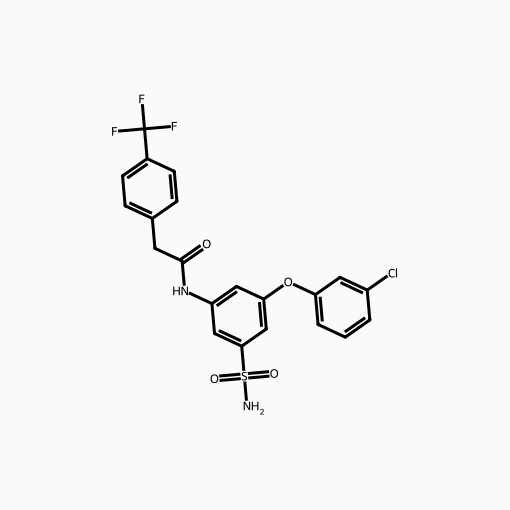 NS(=O)(=O)c1cc(NC(=O)Cc2ccc(C(F)(F)F)cc2)cc(Oc2cccc(Cl)c2)c1